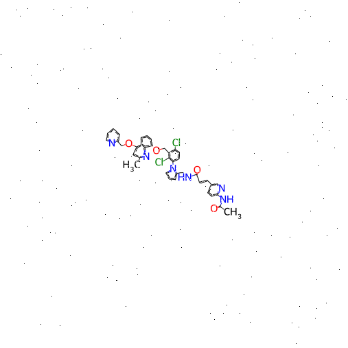 CC(=O)Nc1ccc(C=CC(=O)NCc2cccn2-c2ccc(Cl)c(COc3cccc4c(OCc5ccccn5)cc(C)nc34)c2Cl)cn1